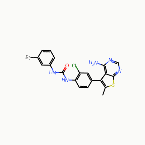 CCc1cccc(NC(=O)Nc2ccc(-c3c(C)sc4ncnc(N)c34)cc2Cl)c1